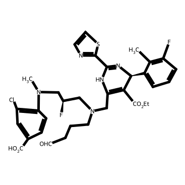 CCOC(=O)C1=C(CN(CCCC=O)C[C@@H](F)CN(C)c2ccc(C(=O)O)cc2Cl)NC(c2nccs2)=N[C@H]1c1cccc(F)c1C